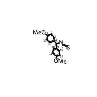 COc1ccc(C(N=C=S)c2ccc(OC)cc2)cc1